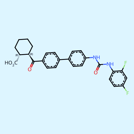 O=C(Nc1ccc(-c2ccc(C(=O)[C@@H]3CCCC[C@H]3C(=O)O)cc2)cc1)Nc1ccc(F)cc1F